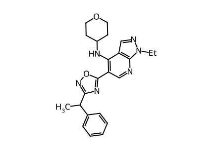 CCn1ncc2c(NC3CCOCC3)c(-c3nc(C(C)c4ccccc4)no3)cnc21